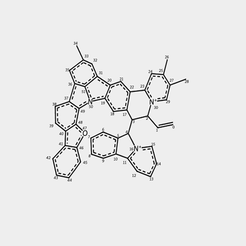 C=CC1C(C2c3ccccc3-c3cccc[n+]32)c2cc3c(cc2-c2cc(C)c(C)c[n+]21)c1cc(C)cc2c4ccc5c6ccccc6oc5c4n3c12